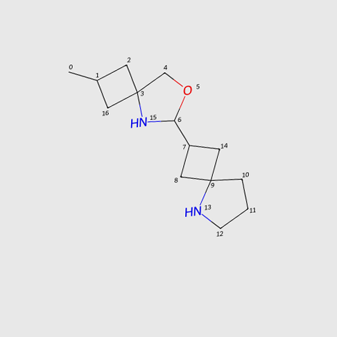 CC1CC2(COC(C3CC4(CCCN4)C3)N2)C1